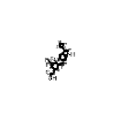 O=C(O)Cc1cc(C(F)(F)F)c(Oc2ccc3[nH]cc(C4CCC4)c3c2)c(C(F)(F)F)c1